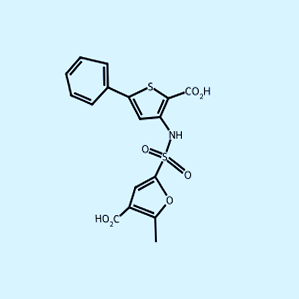 Cc1oc(S(=O)(=O)Nc2cc(-c3ccccc3)sc2C(=O)O)cc1C(=O)O